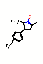 CC1=[N+]([O-])C(C(=O)O)C(c2ccc(C(F)(F)F)cc2)C1